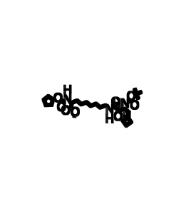 COC(=O)C(CCCCCCCNC(=O)[C@@H](O)C(CC1CCC1)NC(=O)OC(C)(C)C)NC(=O)OC1CCCC1